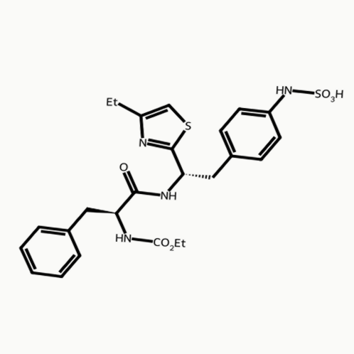 CCOC(=O)N[C@@H](Cc1ccccc1)C(=O)N[C@@H](Cc1ccc(NS(=O)(=O)O)cc1)c1nc(CC)cs1